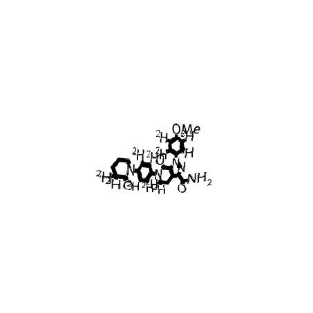 [2H]c1c([2H])c(-n2nc(C(N)=O)c3c2C(=O)N(c2c([2H])c([2H])c(N4CCCC([2H])([2H])C4=O)c([2H])c2[2H])C([2H])([2H])C3)c([2H])c([2H])c1OC